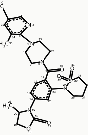 Cc1cnc(N2CCN(C(=O)c3ccc(N4C(=O)OCC4C)cc3N3CCCCS3(=O)=O)CC2)c(C)c1